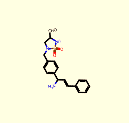 NC(C=Cc1ccccc1)c1ccc(CN2CC(C=O)NS2(=O)=O)cc1